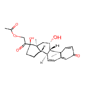 CC(=O)OCC(=O)[C@@]1(O)CC[C@H]2[C@@H]3C=CC4=CC(=O)C=C[C@]4(C)[C@H]3[C@@H](O)C[C@@]21C